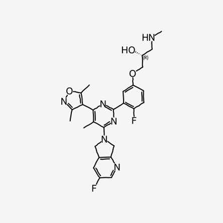 CNC[C@@H](O)COc1ccc(F)c(-c2nc(-c3c(C)noc3C)c(C)c(N3Cc4cc(F)cnc4C3)n2)c1